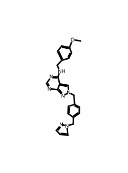 COc1ccc(CNc2ncnc3nn(Cc4ccc(Cn5cccn5)cc4)cc23)cc1